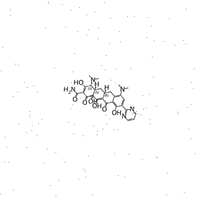 CN(C)c1cc(-c2ncccn2)c(O)c2c1C[C@H]1C[C@H]3[C@H](N(C)C)C(O)=C(C(N)=O)C(=O)[C@@]3(O)C(O)=C1C2=O